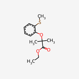 CCOC(=O)C(C)(C)Oc1ccccc1SC